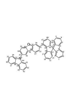 c1ccc2c(c1)-c1ccccc1C21c2ccccc2-c2c(-c3ccc4c(c3)oc3ccc(-n5c6ccccc6c6ccccc65)cc34)cccc21